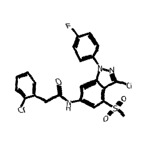 CS(=O)(=O)c1cc(NC(=O)Cc2ccccc2Cl)cc2c1c(Cl)nn2-c1ccc(F)cc1